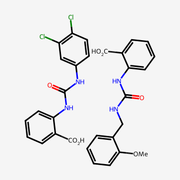 COc1ccccc1CNC(=O)Nc1ccccc1C(=O)O.O=C(Nc1ccc(Cl)c(Cl)c1)Nc1ccccc1C(=O)O